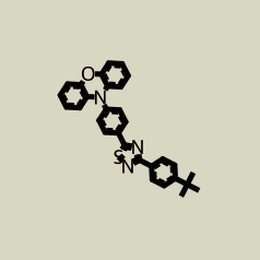 CC(C)(C)c1ccc(-c2nsc(-c3ccc(N4c5ccccc5Oc5ccccc54)cc3)n2)cc1